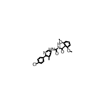 COc1cccc(OC)c1C(=O)NC(=O)Nc1cnc(-c2ccc(Cl)cc2)c(C)c1